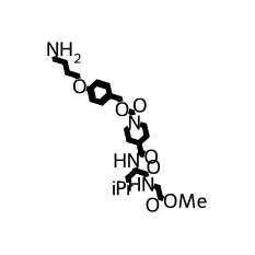 COC(=O)CNC(=O)C(CC(C)C)NC(=O)C1CCN(C(=O)OCc2ccc(OCCCCN)cc2)CC1